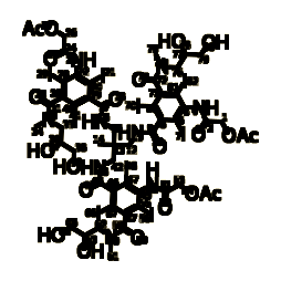 CC(=O)OCC(=O)Nc1c(I)c(C(=O)NCC(C)(CNC(=O)c2c(I)c(NC(=O)COC(C)=O)c(I)c(C(=O)N(C)CC(O)CO)c2I)CNC(=O)c2c(I)c(NC(=O)COC(C)=O)c(I)c(C(=O)N(C)CC(O)CO)c2I)c(I)c(C(=O)N(C)CC(O)CO)c1I